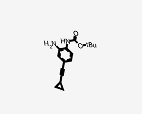 CC(C)(C)OC(=O)Nc1ccc(C#CC2CC2)cc1N